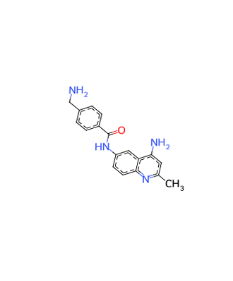 Cc1cc(N)c2cc(NC(=O)c3ccc(CN)cc3)ccc2n1